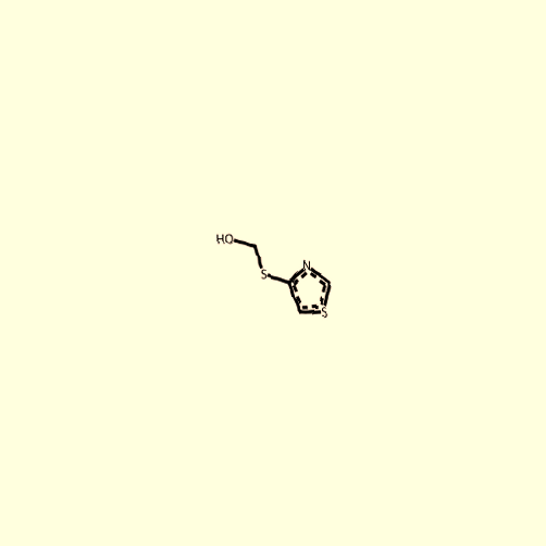 OCSc1cscn1